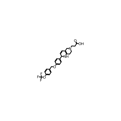 O=C(O)CCN1CCC2=C(C=CC(c3ccc(OCc4ccc(OC(F)(F)F)cc4)cc3)N2)C1